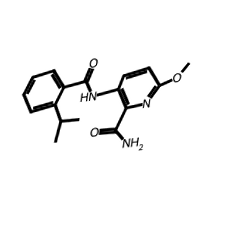 COc1ccc(NC(=O)c2ccccc2C(C)C)c(C(N)=O)n1